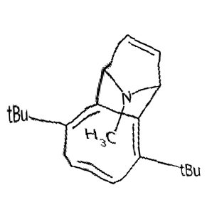 CN1C2C=CC1c1c(C(C)(C)C)ccc(C(C)(C)C)c12